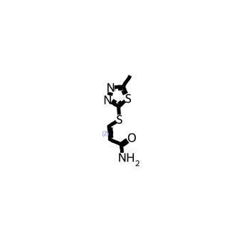 Cc1nnc(S/C=C\C(N)=O)s1